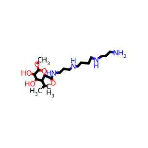 COC1OC(C(=O)NCCCNCCCCNCCCN)C(C(C)C)C(O)C1O